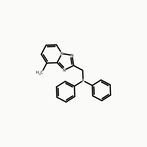 Cc1cccn2nc(CP(c3ccccc3)c3ccccc3)nc12